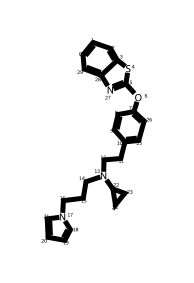 c1ccc2sc(Oc3ccc(CCN(CCCn4cccc4)C4CC4)cc3)nc2c1